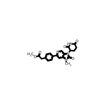 COC(=O)Cc1ccc(-c2cc3c(cn2)n(C2CCC(=O)NC2=O)c(=O)n3C)cc1